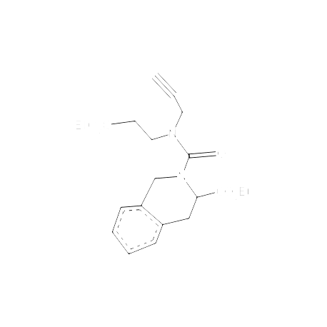 C#CCN(CCC(=O)OCC)C(=O)N1Cc2ccccc2CC1C(=O)OCC